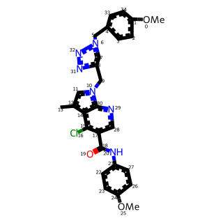 COc1ccc(Cn2cc(Cn3cc(C)c4c(Cl)c(C(=O)Nc5ccc(OC)cc5)cnc43)nn2)cc1